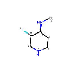 CCN[C@H]1CCNC[C@H]1F